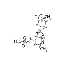 Cc1nc(COS(C)(=O)=O)c2nc(C3CCC(C)(C)CC3)sc2n1